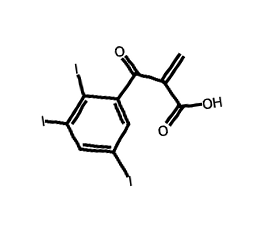 C=C(C(=O)O)C(=O)c1cc(I)cc(I)c1I